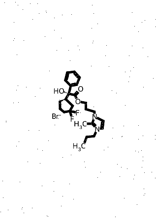 CCC[n+]1ccn(CCCOC(=O)[C@](O)(c2ccccc2)[C@@H]2CCCC(F)(F)C2)c1C.[Br-]